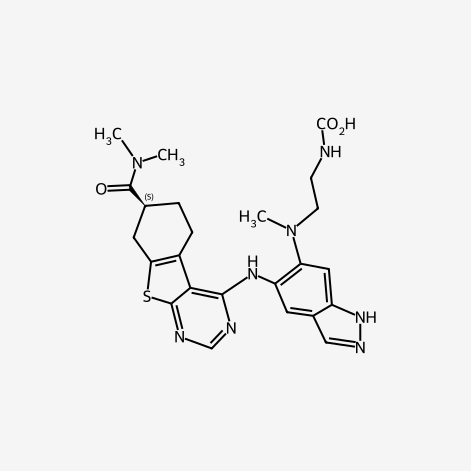 CN(C)C(=O)[C@H]1CCc2c(sc3ncnc(Nc4cc5cn[nH]c5cc4N(C)CCNC(=O)O)c23)C1